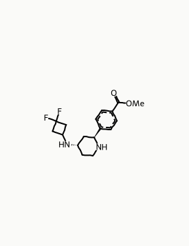 COC(=O)c1ccc([C@@H]2C[C@@H](NC3CC(F)(F)C3)CCN2)cc1